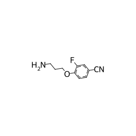 N#Cc1ccc(OCCCN)c(F)c1